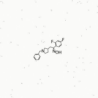 ON=C(CC1CCN(Cc2ccccc2)C1)c1ccc(F)cc1F